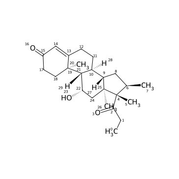 CCC(=O)[C@@]1(C)[C@H](C)C[C@H]2[C@@H]3CCC4=CC(=O)CC[C@]4(C)[C@H]3[C@@H](O)C[C@@]21C